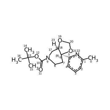 Cc1cccc([C@]23CCN(C(=O)OC(C)(C)C)C[C@H]2OCO3)n1